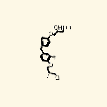 C[C@@H](CCl)COc1ccc(Cc2ccc(OC[C@@H](O)CO)cc2)cc1F